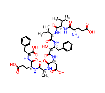 CC(C)[C@H](NC(=O)[C@@H](NC(=O)[C@@H](N)CCC(=O)O)C(C)C)C(=O)N[C@@H](Cc1ccccc1)[C@@H](O)C(=O)N[C@@H](CC(=O)O)C(=O)N[C@@H](C)C(=O)N[C@@H](CCC(=O)O)C(=O)N[C@@H](Cc1ccccc1)C(=O)O